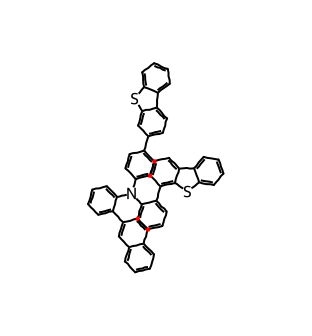 c1ccc(N(c2ccc(-c3ccc4c(c3)sc3ccccc34)cc2)c2ccccc2-c2cccc3c2sc2ccccc23)c(-c2ccc3ccccc3c2)c1